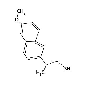 COc1ccc2cc(C(C)CS)ccc2c1